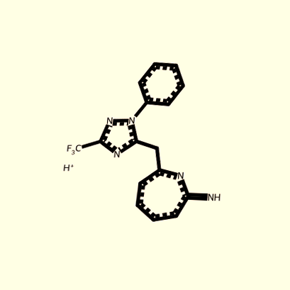 N=c1ccccc(Cc2nc(C(F)(F)F)nn2-c2ccccc2)n1.[H+]